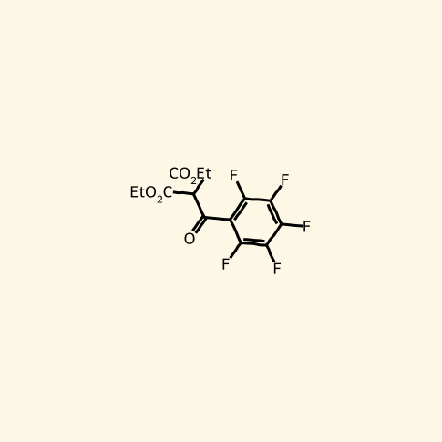 CCOC(=O)C(C(=O)OCC)C(=O)c1c(F)c(F)c(F)c(F)c1F